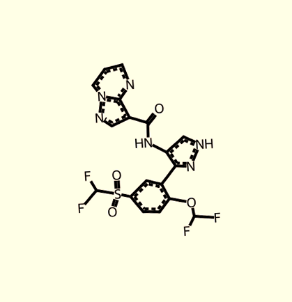 O=C(Nc1c[nH]nc1-c1cc(S(=O)(=O)C(F)F)ccc1OC(F)F)c1cnn2cccnc12